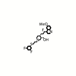 COc1ccc2nccc(C(F)CC[C@@H]3CCN(CCCSc4cc(F)cc(F)c4)C[C@@H]3CO)c2c1